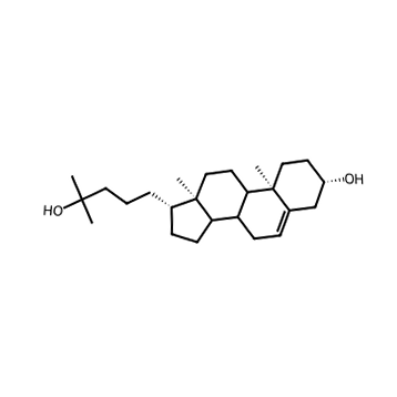 CC(C)(O)CCC[C@H]1CCC2C3CC=C4C[C@@H](O)CC[C@]4(C)C3CC[C@@]21C